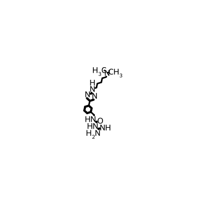 CN(C)CCCCCNc1ncc(-c2cccc(CNC(=O)NC(=N)N)c2)cn1